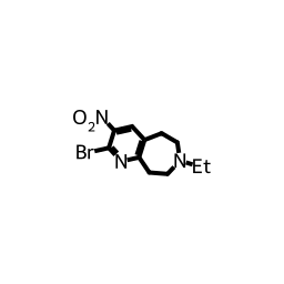 CCN1CCc2cc([N+](=O)[O-])c(Br)nc2CC1